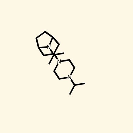 CC(C)N1CCN(C2CC3CCC(C2)N3C(C)C)CC1